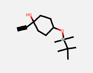 C#CC1(O)CCC(O[Si](C)(C)C(C)(C)C)CC1